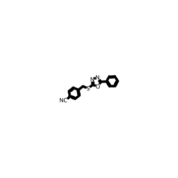 N#Cc1ccc(CSc2nnc(-c3ccccc3)o2)cc1